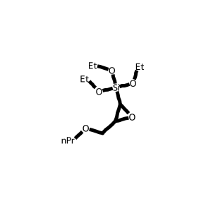 CCCOCC1OC1[Si](OCC)(OCC)OCC